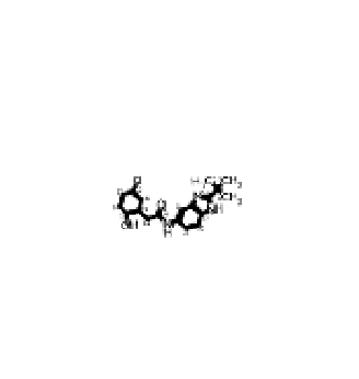 CC(C)(C)c1nc2cc(NC(=O)Cc3cc(Cl)ccc3O)ccc2[nH]1